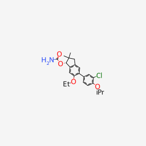 CCOc1cc2c(cc1-c1ccc(OC(C)C)c(Cl)c1)CC(C)(C)[C@H]2OC(N)=O